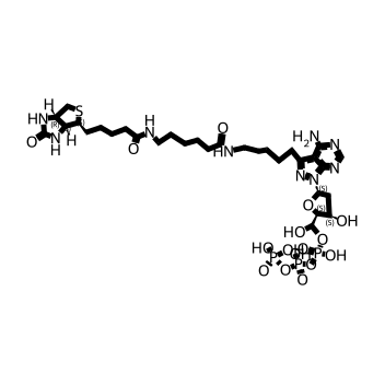 Nc1ncnc2c1c(CCCCCNC(=O)CCCCCNC(=O)CCCC[C@@H]1SC[C@@H]3NC(=O)N[C@@H]31)nn2[C@@H]1C[C@H](O)[C@@H](C(O)OP(=O)(O)OP(=O)(O)OP(=O)(O)O)O1